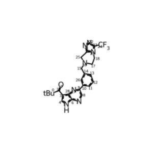 CC(C)(C)C(=O)c1c[nH]c2ncc(-c3cccc(CN4CCn5c(nnc5C(F)(F)F)C4)c3)nc12